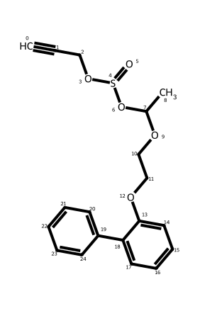 C#CCOS(=O)OC(C)OCCOc1ccccc1-c1ccccc1